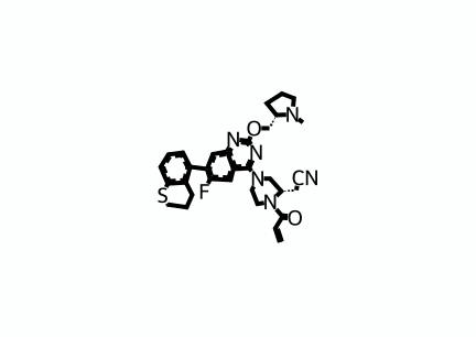 C=CC(=O)N1CCN(c2nc(OC[C@@H]3CCCN3C)nc3cc(-c4cccc5c4CCCS5)c(F)cc23)C[C@@H]1CC#N